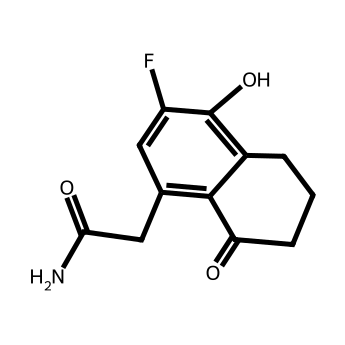 NC(=O)Cc1cc(F)c(O)c2c1C(=O)CCC2